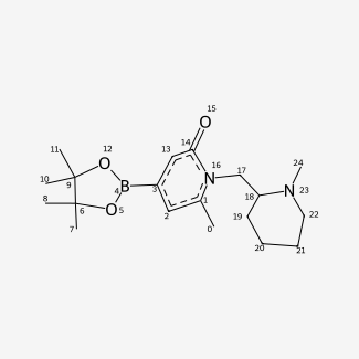 Cc1cc(B2OC(C)(C)C(C)(C)O2)cc(=O)n1CC1CCCCN1C